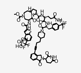 COC(=O)N1CC[C@H]2CC[C@@H](C(=O)N[C@@H](CCC(N)=O)C(=O)N[C@@H](Cc3ccc(C(F)(F)F)cc3)C(=O)N3CCC(CCC#Cc4cccc5c4CN(C4CCC(=O)NC4=O)C5=O)CC3)N2C(=O)[C@@H](NC(=O)c2cc3cc(C(F)(F)P(=O)(O)O)ccc3s2)C1